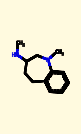 CNC1CCc2ccccc2N(C)C1